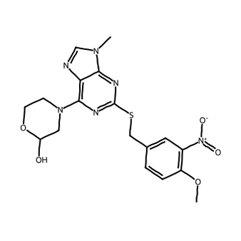 COc1ccc(CSc2nc(N3CCOC(O)C3)c3ncn(C)c3n2)cc1[N+](=O)[O-]